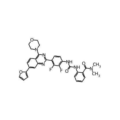 CN(C)C(=O)c1ccccc1NC(=O)Nc1ccc(-c2nc(N3CCOCC3)c3ccc(-c4ccco4)cc3n2)c(F)c1F